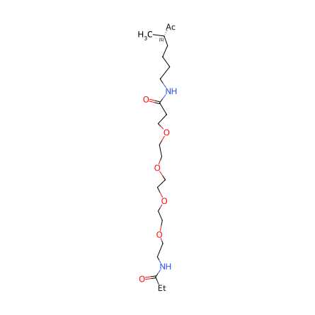 CCC(=O)NCCOCCOCCOCCOCCC(=O)NCCCC[C@H](C)C(C)=O